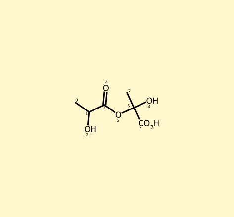 CC(O)C(=O)OC(C)(O)C(=O)O